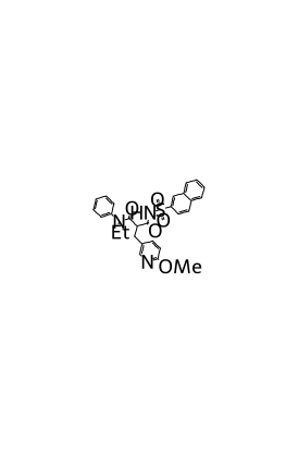 CCN(C(=O)C(Cc1ccc(OC)nc1)C(=O)NS(=O)(=O)c1ccc2ccccc2c1)c1ccccc1